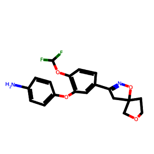 Nc1ccc(Oc2cc(C3=NOC4(CCOC4)C3)ccc2OC(F)F)cc1